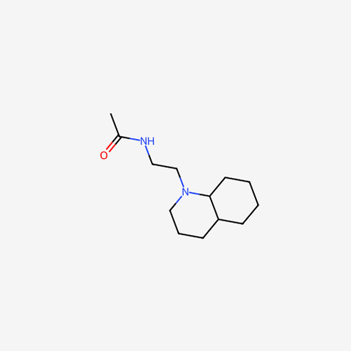 CC(=O)NCCN1CCCC2CCCCC21